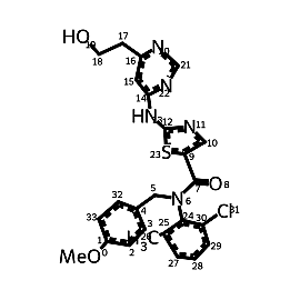 COc1ccc(CN(C(=O)c2cnc(Nc3cc(CCO)ncn3)s2)c2c(C)cccc2Cl)cc1